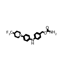 NC(=O)OCc1ccc(Nc2ccc(N3CCC(C(F)(F)F)CC3)cc2)cc1